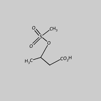 CC(CC(=O)O)OS(C)(=O)=O